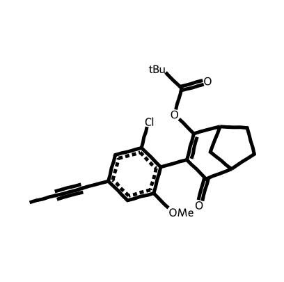 CC#Cc1cc(Cl)c(C2=C(OC(=O)C(C)(C)C)C3CCC(C3)C2=O)c(OC)c1